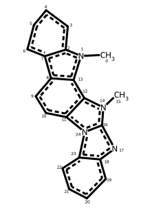 Cn1c2ccccc2c2ccc3c(c21)n(C)c1nc2ccccc2n31